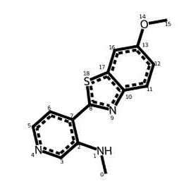 CNc1cnccc1-c1nc2ccc(OC)cc2s1